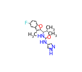 Cc1c([C@H](NC(=O)Nc2cn[nH]c2)C(C)C)oc2ccc(F)cc12